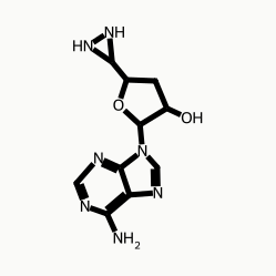 Nc1ncnc2c1ncn2C1OC(C2NN2)CC1O